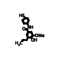 C=CCc1cc(C(=O)Nc2ccc(S)cc2)cc(OC)c1O